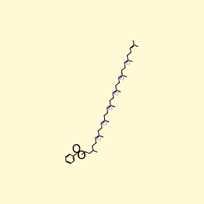 CC(C)=CCC/C(C)=C/CC/C(C)=C/CC/C(C)=C/CC/C(C)=C/CC/C(C)=C/CC/C(C)=C/CCC(C)CCOC(=O)c1ccccc1